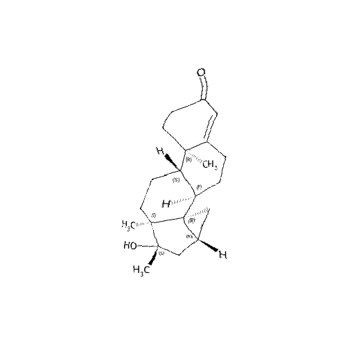 C[C@]12CC[C@H]3[C@@H](CCC4=CC(=O)CC[C@@]43C)[C@]13C[C@@H]3C[C@]2(C)O